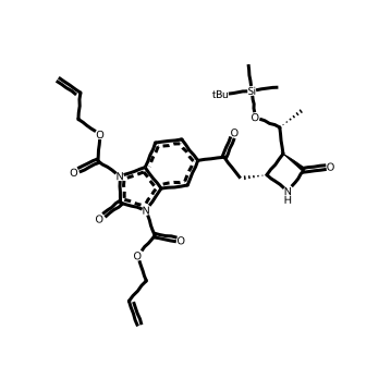 C=CCOC(=O)n1c(=O)n(C(=O)OCC=C)c2cc(C(=O)C[C@H]3NC(=O)[C@@H]3[C@@H](C)O[Si](C)(C)C(C)(C)C)ccc21